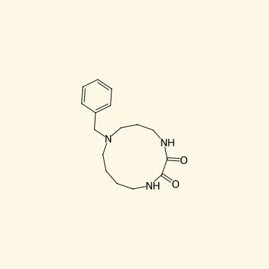 O=C1NCCCCN(Cc2ccccc2)CCCNC1=O